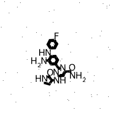 NC(=O)c1cc(NC2CCNC2=O)nc(-c2ccc(Nc3ccc(F)cc3)c(N)c2)n1